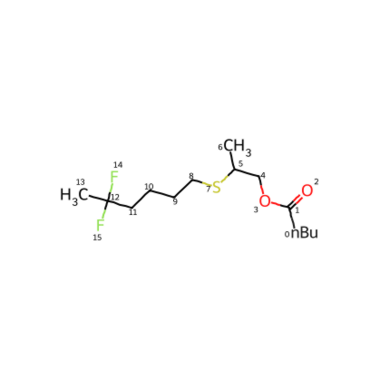 CCCCC(=O)OCC(C)SCCCCC(C)(F)F